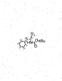 CC(NC(=O)OC(C)(C)C)Sc1ccccc1